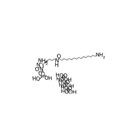 NCCCCCCCCCCCCCCCC(=O)NCCCC#Cc1cn([C@H]2C[C@H](O)[C@@H](CO)O2)c(=O)nc1N.O=P(O)(O)O.O=P(O)(O)O.O=P(O)(O)O